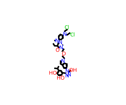 CCC(C(=O)N(C)CCOCCn1ccc2cc(-n3c(O)nnc3-c3cc(C(C)C)c(O)cc3O)ccc21)c1nc2cc(N(CCCl)CCCl)ccc2n1C